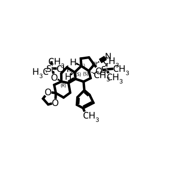 Cc1ccc(C2C[C@@]3(C)[C@@H](CC[C@@]3(C#N)O[Si](C)(C)C)[C@@H]3CC[C@@]4(O[Si](C)(C)C)CC5(CCC4=C23)OCCO5)cc1